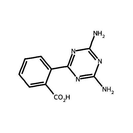 Nc1nc(N)nc(-c2ccccc2C(=O)O)n1